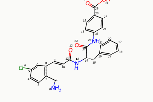 NCc1ccc(Cl)cc1C=CC(=O)N[C@@H](Cc1ccccc1)C(=O)Nc1ccc(C(=O)O)cc1